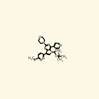 COc1ccc(-c2cn(C(=O)OC(C)(C)C)c3c(-c4ccncc4)nc(N4CCOCC4)nc23)nn1